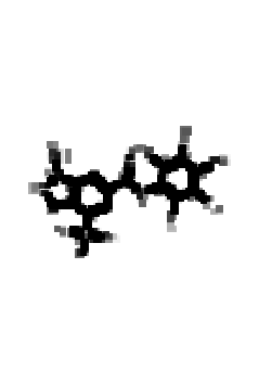 CS(=O)(=O)c1cc(C(=O)Oc2c(F)c(F)c(F)c(F)c2F)cc2c1COB2O